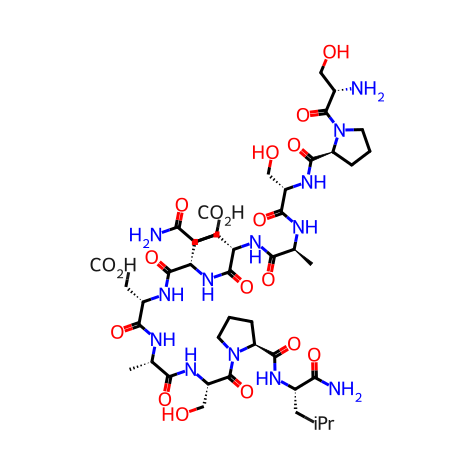 CC(C)C[C@H](NC(=O)[C@@H]1CCCN1C(=O)[C@H](CO)NC(=O)[C@H](C)NC(=O)[C@H](CC(=O)O)NC(=O)[C@H](CCC(=O)O)NC(=O)[C@H](CCC(N)=O)NC(=O)[C@H](C)NC(=O)[C@H](CO)NC(=O)[C@@H]1CCCN1C(=O)[C@@H](N)CO)C(N)=O